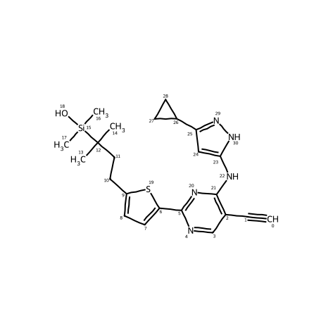 C#Cc1cnc(-c2ccc(CCC(C)(C)[Si](C)(C)O)s2)nc1Nc1cc(C2CC2)n[nH]1